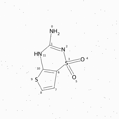 NC1=NS(=O)(=O)c2ccsc2N1